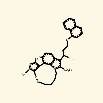 CCOC(=O)c1c(C(C)CCOc2cccc3ccccc23)c2ccc(C)c3c2n1CCCCOCc1c-3c(CC)nn1C